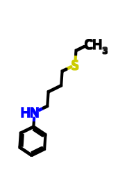 CCSCCCCNc1ccccc1